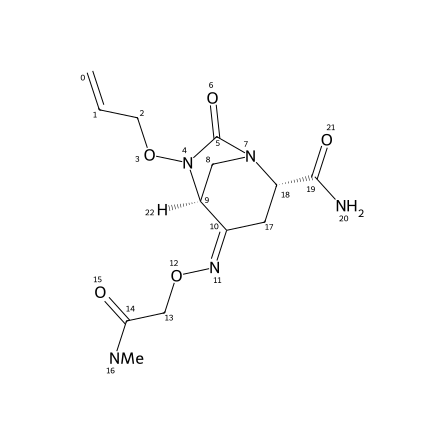 C=CCON1C(=O)N2C[C@H]1/C(=N\OCC(=O)NC)C[C@H]2C(N)=O